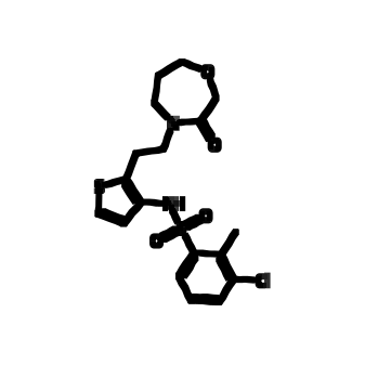 Cc1c(Cl)cccc1S(=O)(=O)Nc1ccsc1CCN1CCCOCC1=O